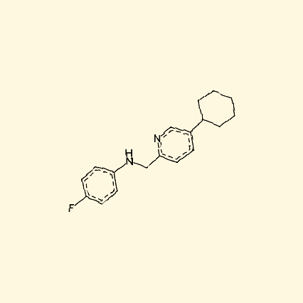 Fc1ccc(NCc2ccc(C3CCCCC3)cn2)cc1